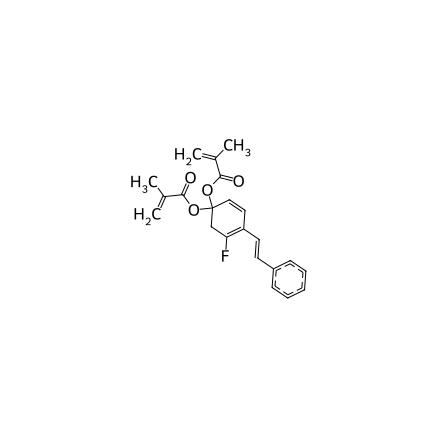 C=C(C)C(=O)OC1(OC(=O)C(=C)C)C=CC(C=Cc2ccccc2)=C(F)C1